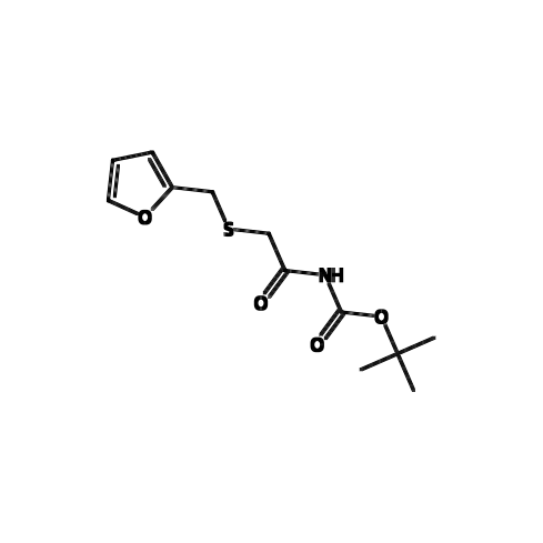 CC(C)(C)OC(=O)NC(=O)CSCc1ccco1